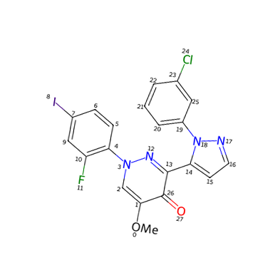 COc1cn(-c2ccc(I)cc2F)nc(-c2ccnn2-c2cccc(Cl)c2)c1=O